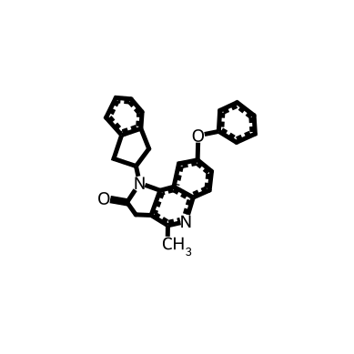 Cc1nc2ccc(Oc3ccccc3)cc2c2c1CC(=O)N2C1Cc2ccccc2C1